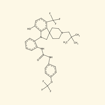 CC(C)(C)CN1CCC2(CC1)CN(c1ccccc1NC(=O)Nc1ccc(OC(F)(F)F)cc1)c1c(O)ccc(C(F)(F)F)c12